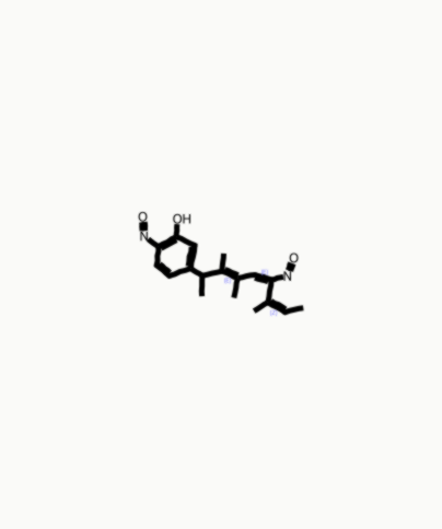 C\C=C(C)/C(=C\C(C)=C(/C)C(C)c1ccc(N=O)c(O)c1)N=O